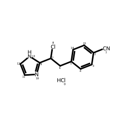 Cl.N#Cc1ccc(CC(Cl)c2ncc[nH]2)cc1